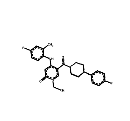 Cc1cc(F)ccc1Nc1cc(=O)n(CC#N)cc1C(=O)N1CCC(c2ccc(F)cc2)CC1